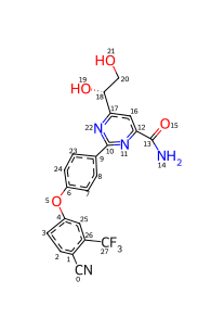 N#Cc1ccc(Oc2ccc(-c3nc(C(N)=O)cc([C@H](O)CO)n3)cc2)cc1C(F)(F)F